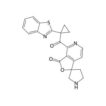 O=C1OC2(CCNC2)c2ccnc(C(=O)C3(c4nc5ccccc5s4)CC3)c21